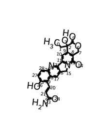 CCC1(O)C(=O)OCc2c1cc1n(c2=O)Cc2cc3c(C=CC(N)=O)c(O)ccc3nc2-1